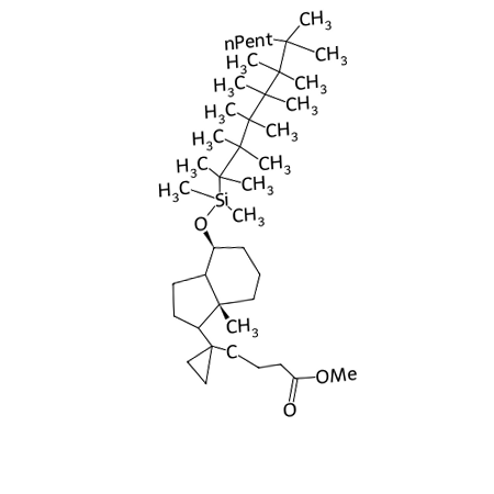 CCCCCC(C)(C)C(C)(C)C(C)(C)C(C)(C)C(C)(C)C(C)(C)[Si](C)(C)O[C@H]1CCC[C@@]2(C)C1CCC2C1(CCCC(=O)OC)CC1